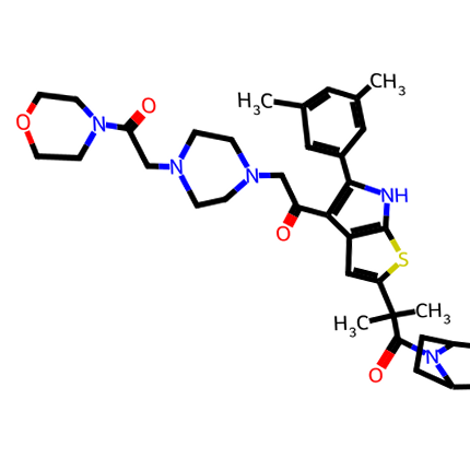 Cc1cc(C)cc(-c2[nH]c3sc(C(C)(C)C(=O)N4C5CCC4CC5)cc3c2C(=O)CN2CCN(CC(=O)N3CCOCC3)CC2)c1